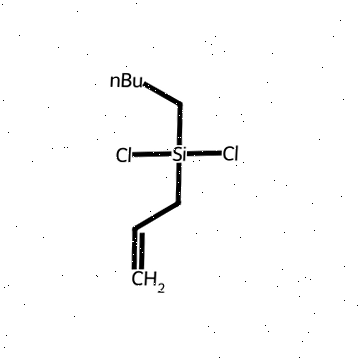 C=CC[Si](Cl)(Cl)CCCCC